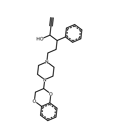 C#CC(O)C(CCN1CCN(C2COc3ccccc3O2)CC1)c1ccccc1